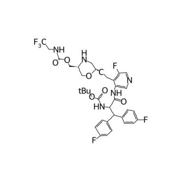 CC(C)(C)OC(=O)NC(C(=O)Nc1cncc(F)c1CC[C@@H]1CN[C@H](COC(=O)NCC(F)(F)F)CO1)C(c1ccc(F)cc1)c1ccc(F)cc1